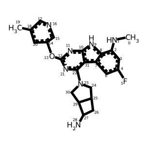 CNc1cc(F)cc2c1[nH]c1nc(Oc3cncc(C)c3)nc(N3CC4CC(N)C4C3)c12